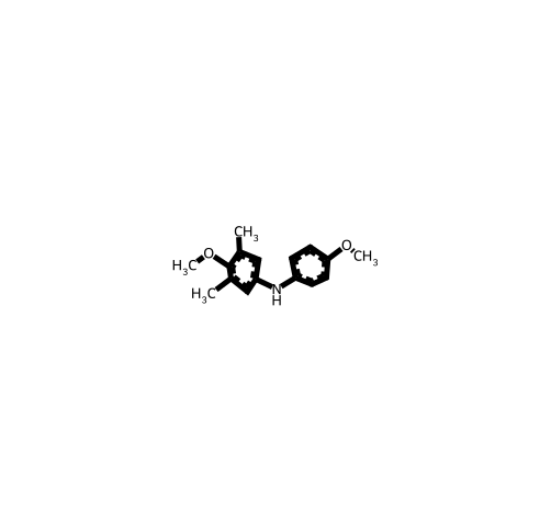 COc1ccc(Nc2cc(C)c(OC)c(C)c2)cc1